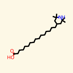 CC1(C)CC(CCCCCCCCCCCCCCCC(=O)O)CC(C)(C)N1